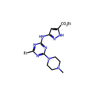 CCOC(=O)c1cc(Nc2nc(CC)nc(N3CCN(C)CC3)n2)n[nH]1